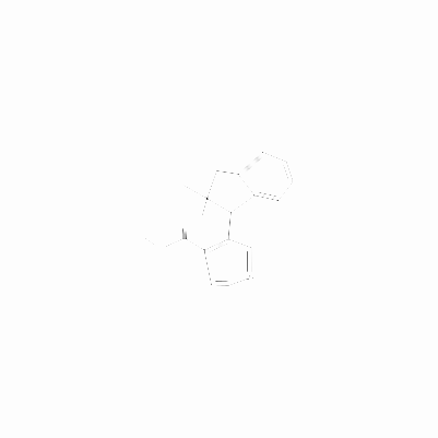 COC(=O)c1ccncc1C1c2ccccc2CC1(C)C